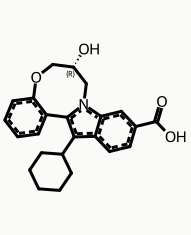 O=C(O)c1ccc2c(C3CCCCC3)c3n(c2c1)C[C@@H](O)COc1ccccc1-3